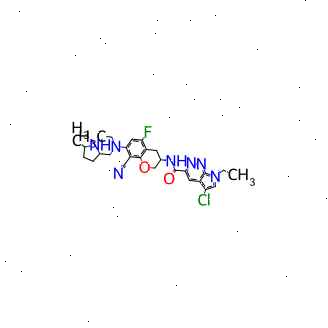 CCN(CC1CCC(C)N1)c1cc(F)c2c(c1C#N)OC[C@H](NC(=O)c1cc3c(Cl)cn(CC)c3nn1)C2